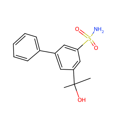 CC(C)(O)c1cc(-c2ccccc2)cc(S(N)(=O)=O)c1